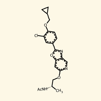 CC(=O)N[C@@H](C)COc1cc2oc(-c3ccc(OCC4CC4)c(Cl)c3)nc2cn1